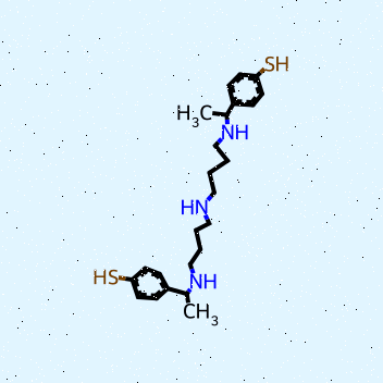 CC(NCCCCNCCCCNC(C)c1ccc(S)cc1)c1ccc(S)cc1